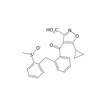 C[S+]([O-])c1ccccc1Cc1ccccc1C(=O)c1c(C(=O)O)noc1C1CC1